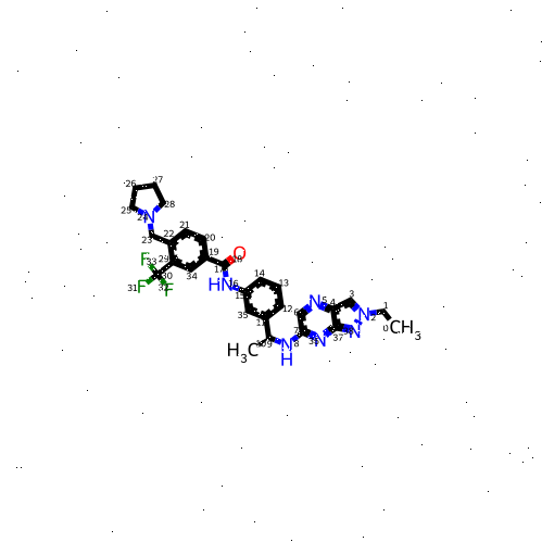 CCn1cc2ncc(N[C@@H](C)c3cccc(NC(=O)c4ccc(CN5CCCC5)c(C(F)(F)F)c4)c3)nc2n1